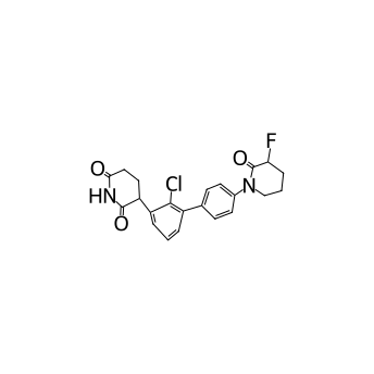 O=C1CCC(c2cccc(-c3ccc(N4CCCC(F)C4=O)cc3)c2Cl)C(=O)N1